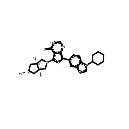 O=c1[nH]cnc2c(-c3ccc4c(c3)ncn4C3CCCCC3)sc(N3C[C@H]4C[C@H](O)C[C@H]4C3)c12